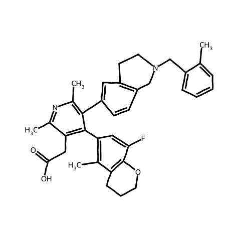 Cc1ccccc1CN1CCc2cc(-c3c(C)nc(C)c(CC(=O)O)c3-c3cc(F)c4c(c3C)CCCO4)ccc2C1